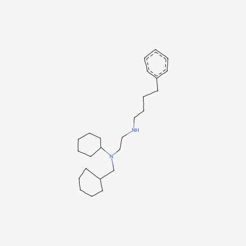 c1ccc(CCCCNCCN(CC2CCCCC2)C2CCCCC2)cc1